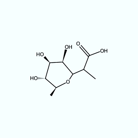 CC(C(=O)O)C1O[C@@H](C)[C@H](O)[C@@H](O)[C@H]1O